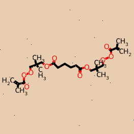 C=C(C)C(=O)OOCC(C)(C)COC(=O)CCCCC(=O)OCC(C)(C)COOC(=O)C(=C)C